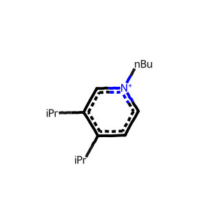 CCCC[n+]1ccc(C(C)C)c(C(C)C)c1